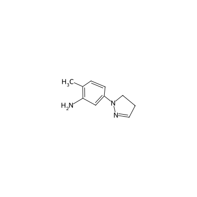 Cc1ccc(N2CCC=N2)cc1N